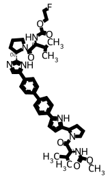 COC(=O)N[C@H](C(=O)N1CCCC1c1ccc(-c2ccc(-c3ccc(-c4cnc([C@@H]5CCCN5C(=O)[C@@H](NC(=O)OCCF)C(C)C)[nH]4)cc3)cc2)[nH]1)C(C)C